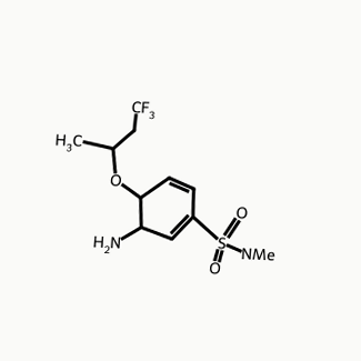 CNS(=O)(=O)C1=CC(N)C(OC(C)CC(F)(F)F)C=C1